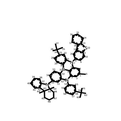 Cc1cc2c3c(c1)N(c1ccc4sc5ccccc5c4c1)c1cc(C(C)(C)C)ccc1B3c1ccc(N3c4ccccc4C4(C)CCCCC34C)cc1N2c1cccc(C(C)(C)C)c1